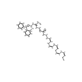 CC/C=C\C/C=C\C/C=C\C/C=C\C/C=C\CCCC(=O)OCCN(CC)CCOC(c1ccccc1)c1ccccc1C